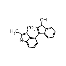 Cc1[nH]c2cccc(C3=CC(O)c4ccccc43)c2c1C(=O)O